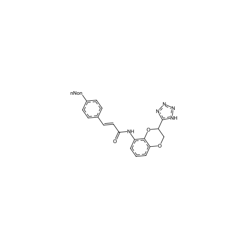 CCCCCCCCCc1ccc(C=CC(=O)Nc2cccc3c2OC(c2nnn[nH]2)CO3)cc1